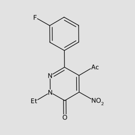 CCn1nc(-c2cccc(F)c2)c(C(C)=O)c([N+](=O)[O-])c1=O